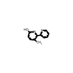 Cc1ccc(O)nc1-c1ccccn1